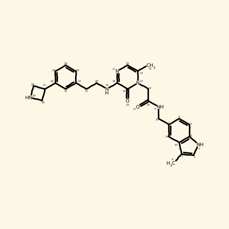 Cc1c[nH]c2ccc(CNC(=O)Cn3c(C)cnc(NCCc4cccc(C5CNC5)c4)c3=O)cc12